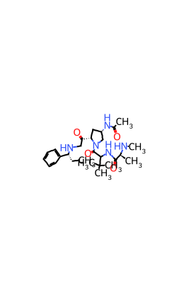 CC[C@@H](NCC(=O)[C@@H]1C[C@H](NC(C)=O)CN1C(=O)C(NC(=O)[C@H](C)NC)C(C)(C)C)c1ccccc1